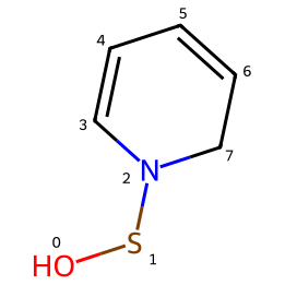 OSN1C=CC=CC1